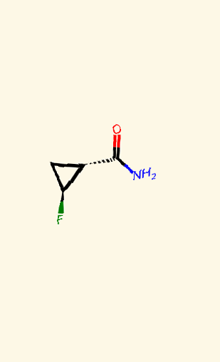 NC(=O)[C@H]1C[C@@H]1F